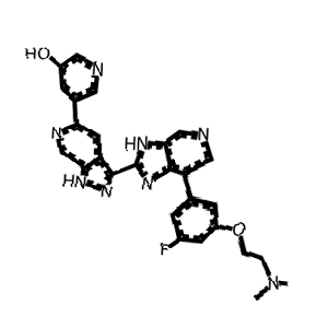 CN(C)CCOc1cc(F)cc(-c2cncc3[nH]c(-c4n[nH]c5cnc(-c6cncc(O)c6)cc45)nc23)c1